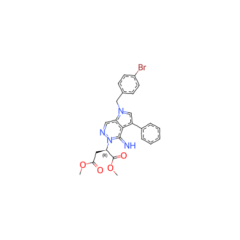 COC(=O)C[C@H](C(=O)OC)n1ncc2c(c(-c3ccccc3)cn2Cc2ccc(Br)cc2)c1=N